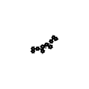 c1ccc2c(-c3ccc(-n4c5ccccc5c5c6sc7c(ccc8c7c7ccccc7n8-c7ccc(-c8cccc9ccccc89)cc7)c6ccc54)cc3)cccc2c1